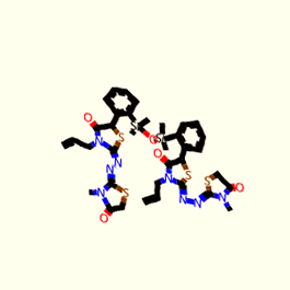 C=CCN1C(=O)C(c2ccccc2[Si](C)(C)O[Si](C)(C)c2ccccc2C2SC(=NN=C3SCC(=O)N3C)N(CC=C)C2=O)SC1=NN=C1SCC(=O)N1C